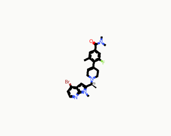 Cc1cc(C(=O)N(C)C)cc(F)c1C1=CCN([C@@H](C)c2cc3c(Br)ccnc3n2C)CC1